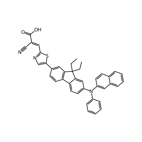 CCC1(CC)c2cc(-c3cnc(/C=C(\C#N)C(=O)O)s3)ccc2-c2ccc(N(c3ccccc3)c3ccc4ccccc4c3)cc21